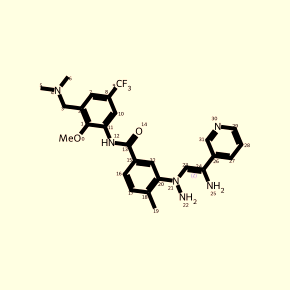 COc1c(CN(C)C)cc(C(F)(F)F)cc1NC(=O)c1ccc(C)c(N(N)/C=C(\N)c2cccnc2)c1